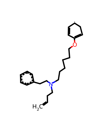 C=CCCN(CCCCCCOC1=CC[CH]C=C1)CCc1ccccc1